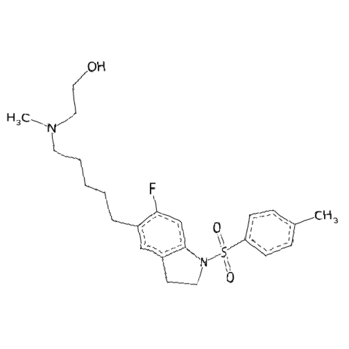 Cc1ccc(S(=O)(=O)N2CCc3cc(CCCCCN(C)CCO)c(F)cc32)cc1